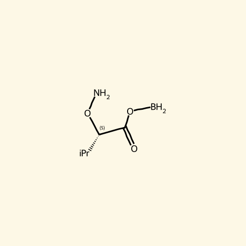 BOC(=O)[C@@H](ON)C(C)C